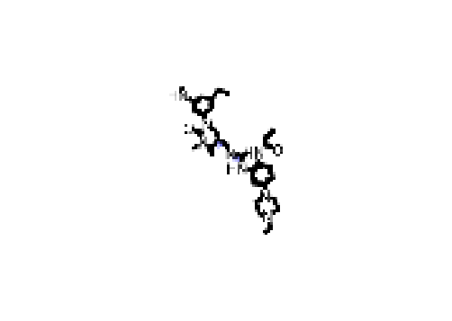 C=CC(=O)Nc1ccc(N2CCN(CC)CC2)cc1N/C(C)=N/C=C1/CN(c2cc(CC)cc(NC)c2)C(=O)N(C)C1=C